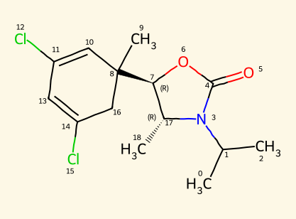 CC(C)N1C(=O)O[C@H](C2(C)C=C(Cl)C=C(Cl)C2)[C@H]1C